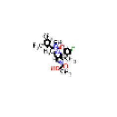 Cc1cc(F)ccc1[C@H]1[C@@H]2CN(C(=O)[C@@H](C)O)C[C@H]2CCN1C(=O)N(C)[C@H](C)c1cc(C(F)(F)F)cc(C(F)(F)F)c1